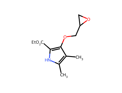 CCOC(=O)c1[nH]c(C)c(C)c1OCC1CO1